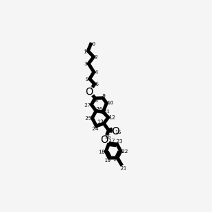 CCCCCCCOC1CCC2CC(C(=O)Oc3ccc(C)cc3)CCC2C1